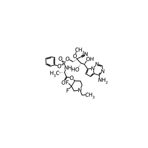 CCN1CCC(OC(=O)[C@H](C)NP(=O)(OC[C@@](C#N)(OC)[C@@H](O)[C@@H](O)c2ccc3c(N)ncnn23)Oc2ccccc2)C(F)(F)C1